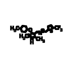 CC1CCC(OC2=C(/C=N/OCc3ccc(C(F)(F)F)s3)C(C)NN2C)CC1